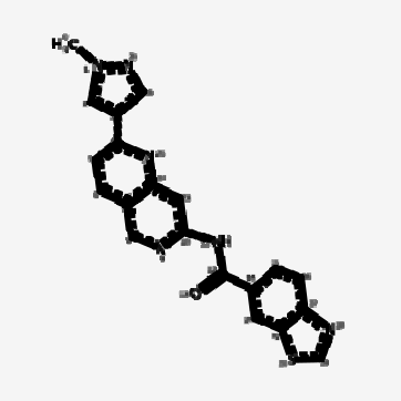 Cn1cc(-c2ccc3cnc(NC(=O)c4ccc5ncsc5c4)cc3n2)cn1